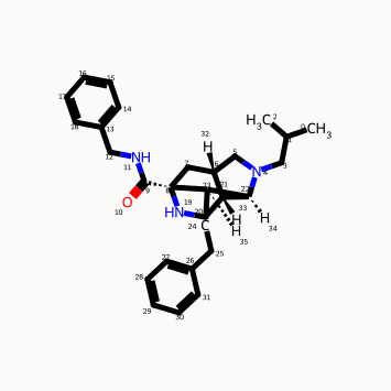 CC(C)CN1C[C@H]2C[C@]3(C(=O)NCc4ccccc4)NC[C@H]2[C@H]1[C@H]3CCc1ccccc1